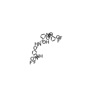 O=S(=O)(Nc1cccc([C@@H](O)CNCCOc2ccc3c(OC(F)F)n[nH]c3c2)c1)c1cccc(OC(F)F)c1